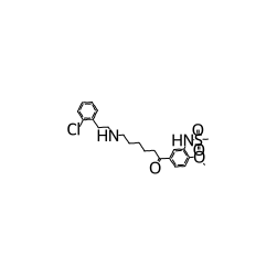 COc1ccc(C(=O)CCCCCNCCc2ccccc2Cl)cc1NS(C)(=O)=O